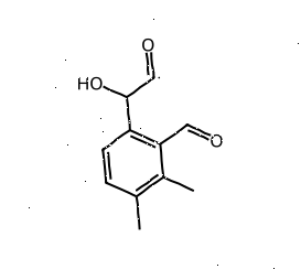 Cc1ccc(C(O)[C]=O)c(C=O)c1C